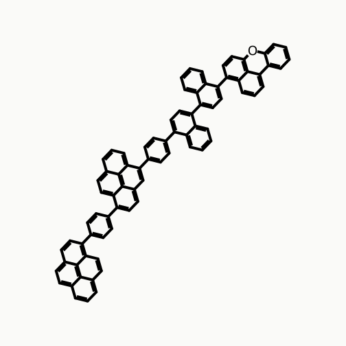 c1ccc2c(c1)Oc1ccc(-c3ccc(-c4ccc(-c5ccc(-c6cc7ccc(-c8ccc(-c9ccc%10ccc%11cccc%12ccc9c%10c%11%12)cc8)c8ccc9cccc6c9c78)cc5)c5ccccc45)c4ccccc34)c3cccc-2c13